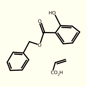 C=CC(=O)O.O=C(OCc1ccccc1)c1ccccc1O